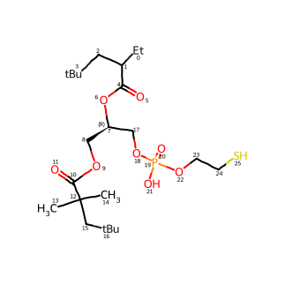 CCC(CC(C)(C)C)C(=O)O[C@H](COC(=O)C(C)(C)CC(C)(C)C)COP(=O)(O)OCCS